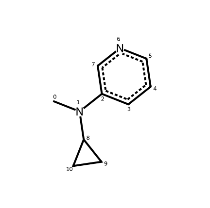 CN(c1cccnc1)C1CC1